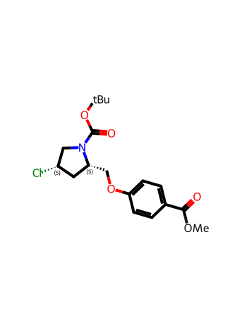 COC(=O)c1ccc(OC[C@@H]2C[C@H](Cl)CN2C(=O)OC(C)(C)C)cc1